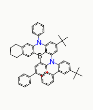 CC(C)(C)c1ccc(N2c3ccc(-c4ccccc4)cc3B3c4cc5c(cc4N(c4ccccc4)c4cc(C(C)(C)C)cc2c43)CCCC5)c(-c2ccccc2)c1